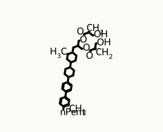 C=C(CO)C(=O)OCC(COC(=O)C(=C)CO)CC1CCC(C2CCC(c3ccc(-c4ccc(CCCCC)c(C)c4)cc3)CC2)CC1C